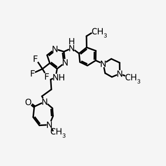 CCc1cc(N2CCN(C)CC2)ccc1Nc1ncc(C(F)(F)F)c(NCCCN2C=CN(C)C=CC2=O)n1